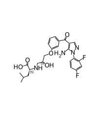 CC(C)C[C@H](NC[C@H](O)COc1cccc(C(=O)c2cnn(-c3ccc(F)cc3F)c2N)c1)C(=O)O